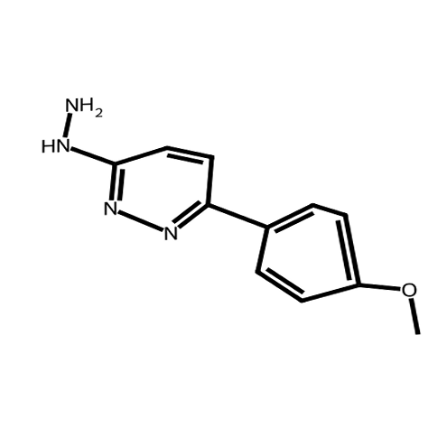 COc1ccc(-c2ccc(NN)nn2)cc1